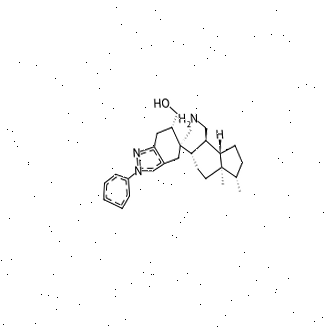 C[C@H]1CC[C@H]2[C@H](CN)[C@@H]([C@@]3(C)Cc4cn(-c5ccccc5)nc4C[C@@H]3CO)CC[C@]12C